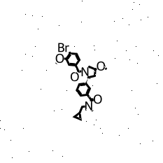 COc1cc(C(=O)N2CC(OC)C[C@@H]2c2cccc(C(=O)N(C)CC3CC3)c2)ccc1Br